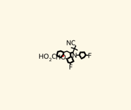 CC(C)(CC#N)c1c(Cc2ccc(C(=O)O)cc2)c2c(O)cc(F)cc2n1-c1ccc(F)cc1